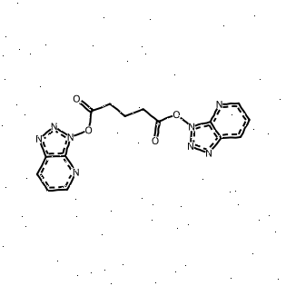 O=C(CCCC(=O)On1nnc2cccnc21)On1nnc2cccnc21